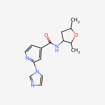 CC1CC(NC(=O)c2ccnc(-n3ccnc3)c2)C(C)O1